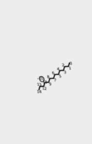 CCCCCCCCCCC([O])CCC